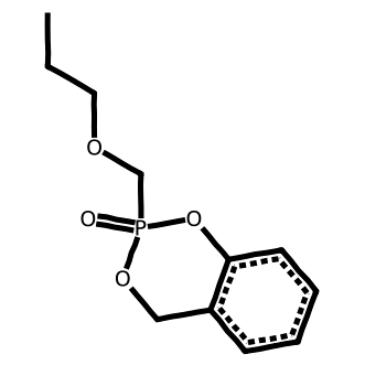 CCCOCP1(=O)OCc2ccccc2O1